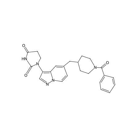 O=C1CCN(c2cnn3ccc(CC4CCN(C(=O)c5ccccc5)CC4)cc23)C(=O)N1